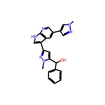 Cn1cc(-c2cnc3[nH]cc(-c4cc(C(O)c5ccccc5)n(C)n4)c3c2)cn1